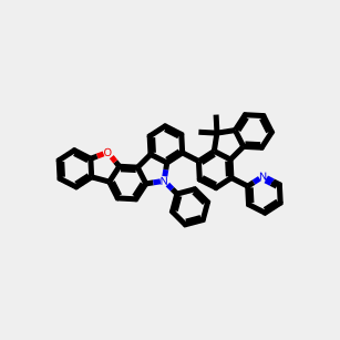 CC1(C)c2ccccc2-c2c(-c3ccccn3)ccc(-c3cccc4c5c6oc7ccccc7c6ccc5n(-c5ccccc5)c34)c21